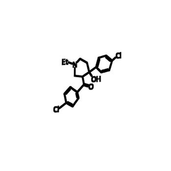 CCN1CCC(O)(c2ccc(Cl)cc2)C(C(=O)c2ccc(Cl)cc2)C1